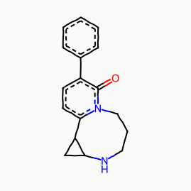 O=c1c(-c2ccccc2)ccc2n1CCCNC1CC21